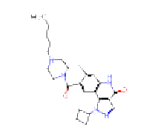 COCCCCN1CCN(C(=O)c2cc3c(cc2C)[nH]c(=O)c2cnn(C4CCC4)c23)CC1